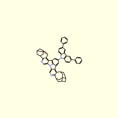 c1ccc(-c2ccc3c(c2)c2cc(-c4ccccc4)ccc2n3-c2cc3c4c5c(ncc4n4c6cnc7c(c6c(c2)c34)C2CC3CC4CC7CC43C2)C2CC3CC(C2)CC5C3)cc1